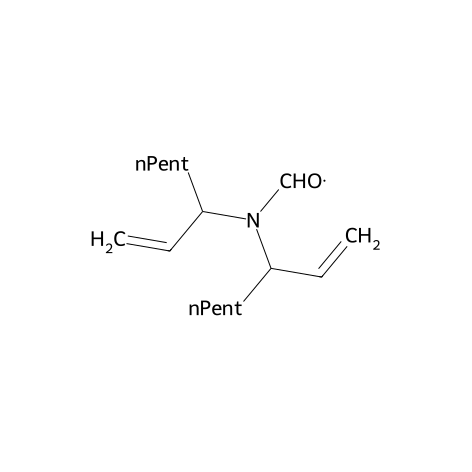 C=CC(CCCCC)N([C]=O)C(C=C)CCCCC